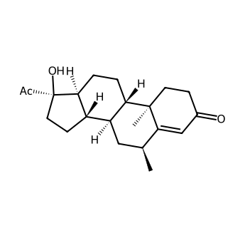 CC(=O)[C@@]1(O)CC[C@H]2[C@@H]3C[C@H](C)C4=CC(=O)CC[C@]4(C)[C@H]3CC[C@@H]21